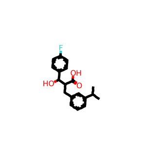 CC(C)c1cccc(CC(C(=O)O)C(O)c2ccc(F)cc2)c1